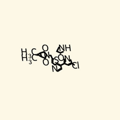 CC1(C)C2C(=O)N(Cc3cc4nccc(-c5cc(Cl)cnc5O[C@H]5CCNC5)c4s3)C(=O)C21